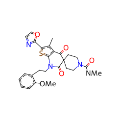 CNC(=O)N1CCC2(CC1)C(=O)c1c(sc(-c3ncco3)c1C)N(CCc1ccccc1OC)C2=O